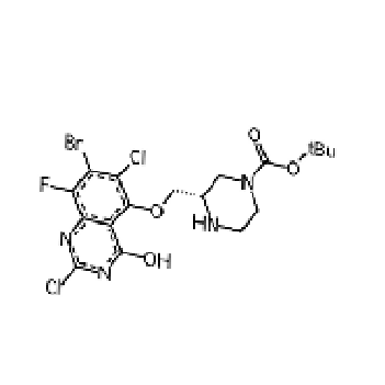 CC(C)(C)OC(=O)N1CCN[C@H](COc2c(Cl)c(Br)c(F)c3nc(Cl)nc(O)c23)C1